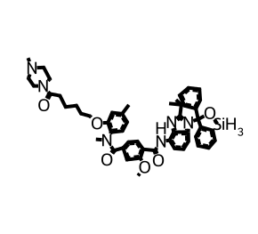 COc1cc(C(=O)N(C)c2ccc(C)cc2OCCCCCC(=O)N2CCN(C)CC2)ccc1C(=O)Nc1cccc2c1nc(C(C)(C)C)n2C(O[SiH3])(c1ccccc1)c1ccccc1